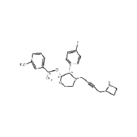 C[C@@H](O[C@H]1OCCN(CC#CCC2CCN2)[C@H]1c1ccc(F)cc1)c1cccc(C(F)(F)F)c1